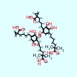 CC(C)(CCCCCc1cc(OOc2c(O)c(CCCCC3(C(=O)O)CC3)cc(O)c2CCCCCC(C)(C)C(=O)O)c(CCCCC2(C(=O)O)CC2)c(O)c1O)C(=O)O